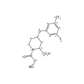 CC(C)(C)OC(=O)N1CCC(Oc2cc(F)cc(C(F)(F)F)c2)CC1C(=O)O